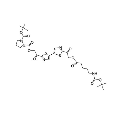 CC(C)(C)OC(=O)NCCCCC(=O)OCC(=O)c1ncc(-c2cnc(C(=O)COC(=O)[C@@H]3CCCN3C(=O)OC(C)(C)C)s2)s1